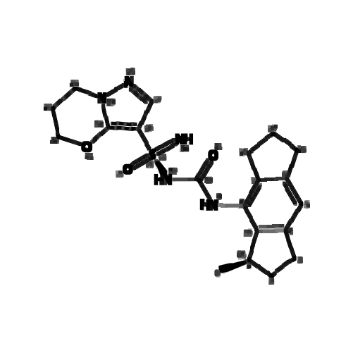 C[C@@H]1CCc2cc3c(c(NC(=O)N[S@@](=N)(=O)c4cnn5c4OCCC5)c21)CCC3